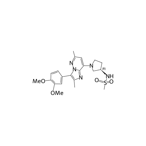 COc1ccc(-c2c(C)nc3c(N4CC[C@@H](NS(C)(=O)=O)C4)cc(C)nn23)cc1OC